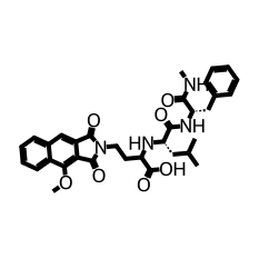 CNC(=O)[C@H](Cc1ccccc1)NC(=O)[C@H](CC(C)C)NC(CCN1C(=O)c2cc3ccccc3c(OC)c2C1=O)C(=O)O